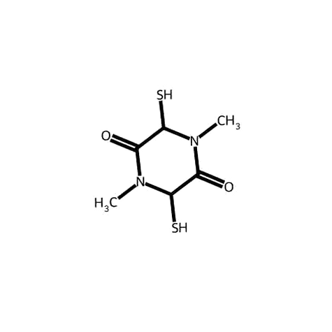 CN1C(=O)C(S)N(C)C(=O)C1S